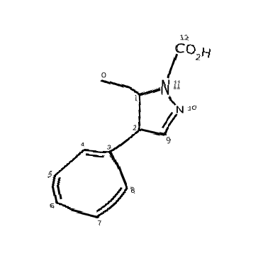 CC1C(c2ccccc2)C=NN1C(=O)O